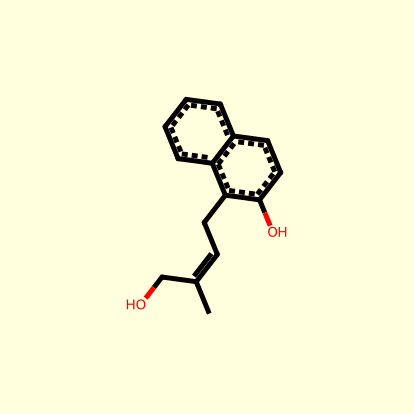 C/C(=C/Cc1c(O)ccc2ccccc12)CO